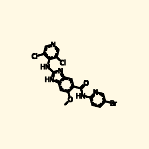 COc1cc2[nH]c(Nc3c(Cl)cncc3Cl)nc2cc1C(=O)Nc1ccc(Br)cn1